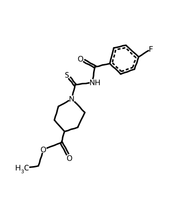 CCOC(=O)C1CCN(C(=S)NC(=O)c2ccc(F)cc2)CC1